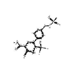 CS(=O)(=O)NCc1ccc(-c2cc(C(N)=O)c(=O)[nH]c2C(F)(F)F)cc1